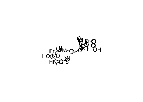 CCc1cccc2cc(O)cc(-c3ncc4c(N5CC6CCC(C5)N6)nc(OCCN5CCC(C6CN(c7cc(C(C(=O)N8C[C@H](O)C[C@H]8C(=O)NC(C)c8ccc(-c9scnc9C)cc8)C(C)C)on7)C6)CC5)nc4c3F)c12